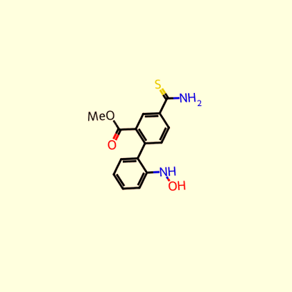 COC(=O)c1cc(C(N)=S)ccc1-c1ccccc1NO